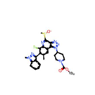 Cc1cc2c(nc([S+](C)[O-])c3nnn(C4CCN(C(=O)OC(C)(C)C)CC4)c32)c(F)c1-c1nn(C)c2ccccc12